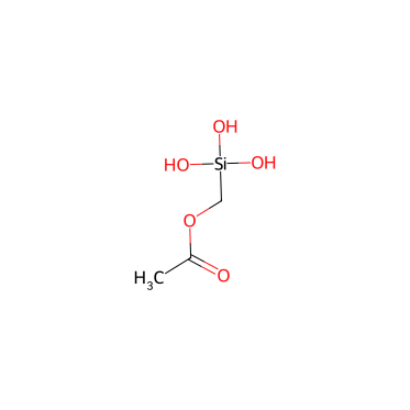 CC(=O)OC[Si](O)(O)O